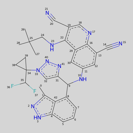 Cc1n[nH]c2cccc(C(Nc3cc(C#N)c4ncc(C#N)c(NCC(C)(C)C)c4c3)c3cn(C4(C(F)F)CC4)nn3)c12